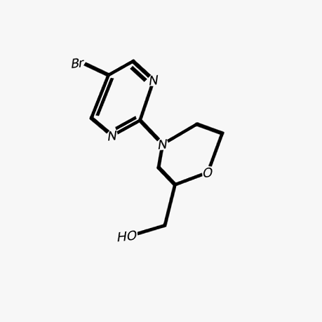 OCC1CN(c2ncc(Br)cn2)CCO1